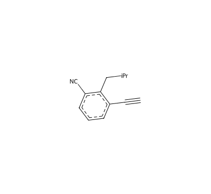 C#Cc1cccc(C#N)c1CC(C)C